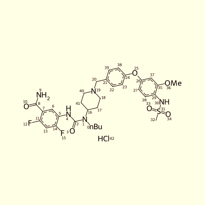 CCCCN(C(=O)Nc1cc(C(N)=O)c(F)cc1F)C1CCN(Cc2ccc(Oc3ccc(NS(C)(=O)=O)c(OC)c3)cc2)CC1.Cl